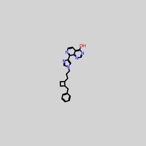 Oc1ncnc2c(-c3cn(CCCC4CCC4Cc4ccccc4)cn3)nccc12